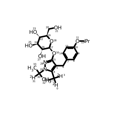 [2H]C([2H])([2H])c1c(Cc2ccc(OC(C)C)cc2)c(O[C@@H]2O[C@H](CO)[C@@H](O)[C@H](O)[C@H]2O)nn1C([2H])(C)C